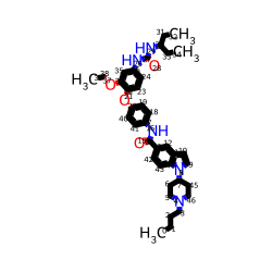 CCCCN1CCC(n2ccc3cc(C(=O)Nc4ccc(Oc5ccc(NC(=O)NC(CC)CC)cc5OCC)cc4)ccc32)CC1